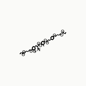 C=CC(=O)OCCCCOc1ccc(/C=C/C(=O)Oc2ccc(OC(=O)/C(C#N)=C/c3ccc(OCCCCOC(=O)C=C)c(OC)c3)c(C)c2)cc1